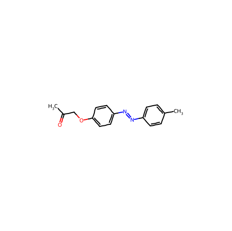 CC(=O)COc1ccc(N=Nc2ccc(C)cc2)cc1